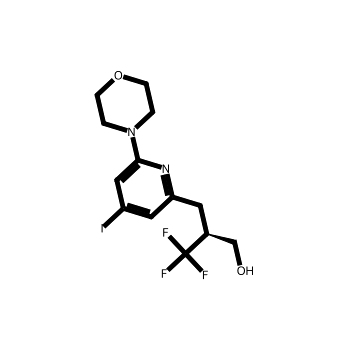 OC[C@H](Cc1cc(I)cc(N2CCOCC2)n1)C(F)(F)F